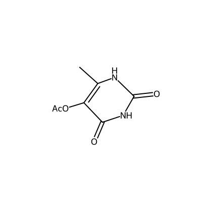 CC(=O)Oc1c(C)[nH]c(=O)[nH]c1=O